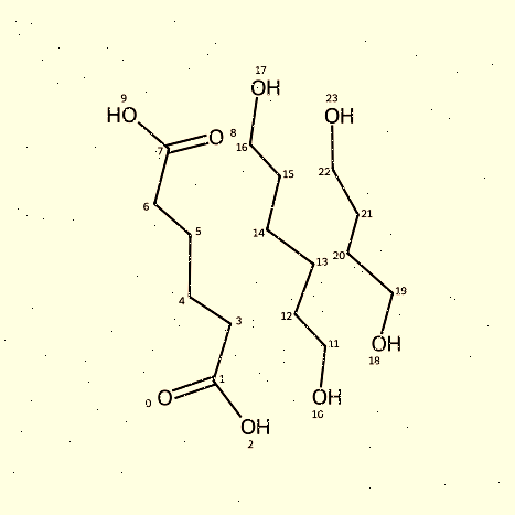 O=C(O)CCCCC(=O)O.OCCCCCCO.OCCCCO